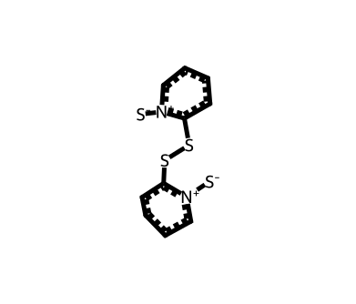 [S-][n+]1ccccc1SSc1cccc[n+]1[S-]